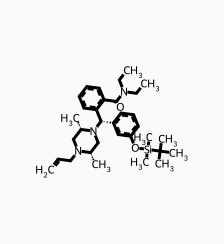 C=CCN1C[C@H](C)N([C@@H](c2cccc(O[Si](C)(C)C(C)(C)C)c2)c2ccccc2C(=O)N(CC)CC)C[C@@H]1C